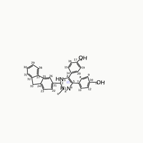 CCC(N/C(=C(\N)c1ccc(O)cc1)c1ccc(O)cc1)c1ccc2c(c1)-c1ccccc1C2